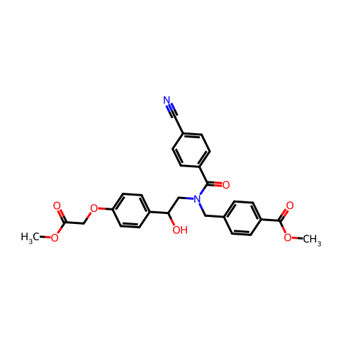 COC(=O)COc1ccc(C(O)CN(Cc2ccc(C(=O)OC)cc2)C(=O)c2ccc(C#N)cc2)cc1